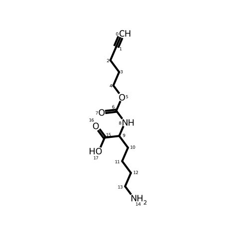 C#CCCCOC(=O)NC(CCCCN)C(=O)O